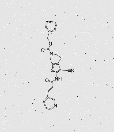 N#Cc1c(NC(=O)C=Cc2cccnc2)sc2c1CCN(C(=O)OCc1ccccc1)C2